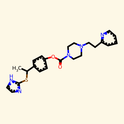 CC(Sc1ncc[nH]1)c1ccc(OC(=O)N2CCN(CCc3ccccn3)CC2)cc1